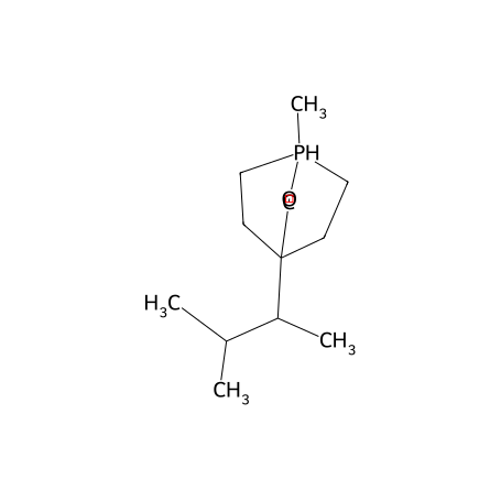 CC(C)C(C)C12CC[PH](C)(CC1)OC2